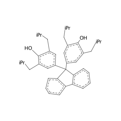 CC(C)Cc1cc(C2(c3cc(CC(C)C)c(O)c(CC(C)C)c3)c3ccccc3-c3ccccc32)cc(CC(C)C)c1O